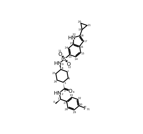 C[C@@H](NC(=O)[C@H]1CC[C@H](NS(=O)(=O)c2ccc3cc(C4CC4)[nH]c3c2)CC1)c1ccc(F)cc1